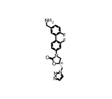 NCc1ccc(F)c(-c2ccc(N3C[C@H](Cn4ccnn4)OC3=O)cc2F)c1